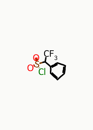 O=S(=O)(Cl)C(c1ccccc1)C(F)(F)F